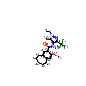 CCn1nc(C(F)(F)F)c(NC(=O)c2cc3c(cc2OC)CCCCC3)c1C